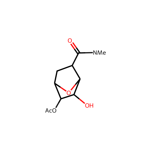 CNC(=O)C1CC2OC1C(O)C2OC(C)=O